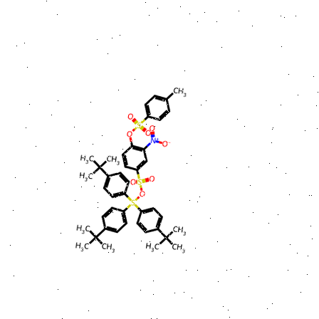 Cc1ccc(S(=O)(=O)Oc2ccc(S(=O)(=O)OS(c3ccc(C(C)(C)C)cc3)(c3ccc(C(C)(C)C)cc3)c3ccc(C(C)(C)C)cc3)cc2[N+](=O)[O-])cc1